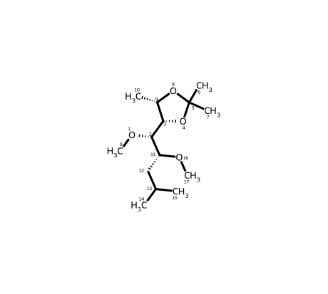 CO[C@H]([C@H]1OC(C)(C)O[C@H]1C)[C@@H](CC(C)C)OC